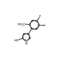 O=C(O)c1cc(F)c(F)cc1-c1c[nH]c(S)c1